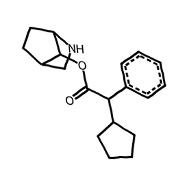 O=C(OC1C2CCC1NC2)C(c1ccccc1)C1CCCC1